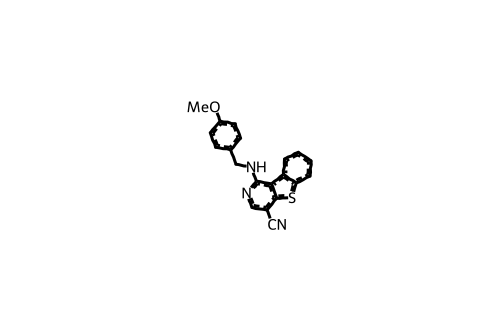 COc1ccc(CNc2ncc(C#N)c3sc4ccccc4c23)cc1